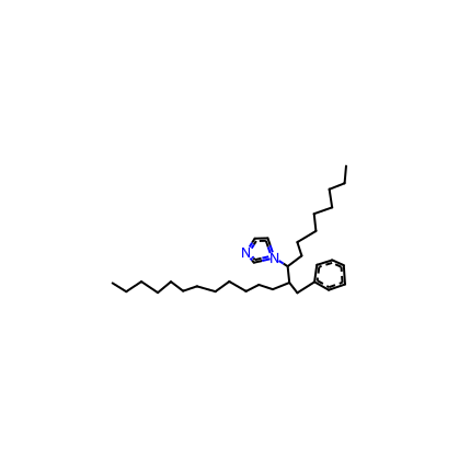 CCCCCCCCCCCCC(Cc1ccccc1)C(CCCCCCCC)n1ccnc1